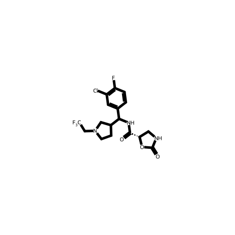 O=C1NC[C@@H](C(=O)NC(c2ccc(F)c(Cl)c2)C2CCN(CC(F)(F)F)C2)O1